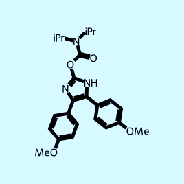 COc1ccc(-c2nc(OC(=O)N(C(C)C)C(C)C)[nH]c2-c2ccc(OC)cc2)cc1